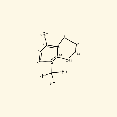 FC(F)(F)c1ccc(Br)c2c1SCCC2